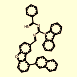 N=C(/N=C(\N=C\c1ccc2oc3cccc(-c4ccc5ccccc5c4)c3c2c1)n1c2ccccc2c2ccccc21)c1ccccc1